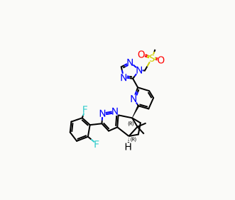 CC1(C)[C@H]2CC[C@@]1(c1cccc(-c3ncnn3CS(C)(=O)=O)n1)c1nnc(-c3c(F)cccc3F)cc12